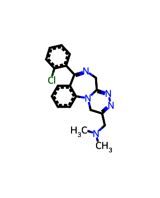 CN(C)CC1=NN=C2CN=C(c3ccccc3Cl)c3ccccc3N2C1